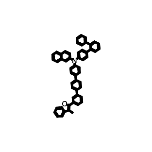 Cc1c(-c2cccc(-c3ccc(-c4ccc(N(c5ccc(-c6ccccc6-c6ccccc6)cc5)c5ccc6ccccc6c5)cc4)cc3)c2)oc2ccccc12